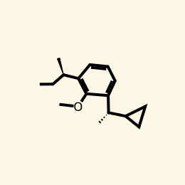 CC[C@@H](C)c1cccc([C@@H](C)C2CC2)c1OC